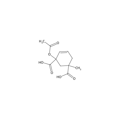 CC(=O)OC1(C(=O)O)C=CCC(C)(C(=O)O)C1